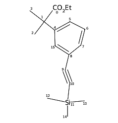 CCOC(=O)C(C)(C)c1cccc(C#C[Si](C)(C)C)c1